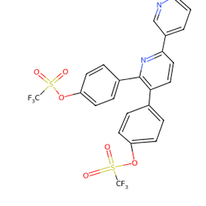 O=S(=O)(Oc1ccc(-c2ccc(-c3cccnc3)nc2-c2ccc(OS(=O)(=O)C(F)(F)F)cc2)cc1)C(F)(F)F